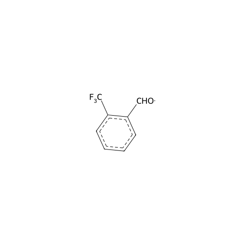 O=[C]c1ccccc1C(F)(F)F